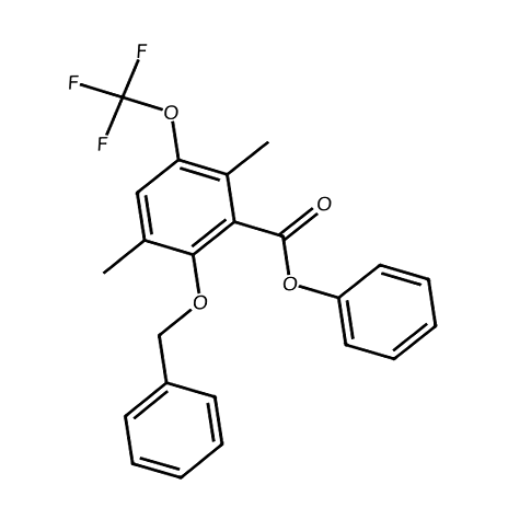 Cc1cc(OC(F)(F)F)c(C)c(C(=O)Oc2ccccc2)c1OCc1ccccc1